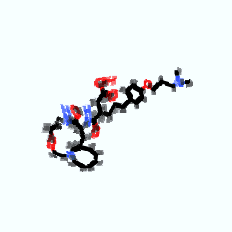 CN(C)CCCOc1ccc(CCC[C@H](CC(=O)O)C(=O)NC2Cc3ccccccn(c3)CCOCCNC2=O)cc1